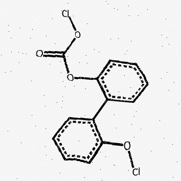 O=C(OCl)Oc1ccccc1-c1ccccc1OCl